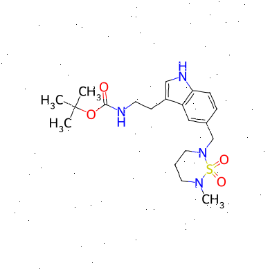 CN1CCCN(Cc2ccc3[nH]cc(CCNC(=O)OC(C)(C)C)c3c2)S1(=O)=O